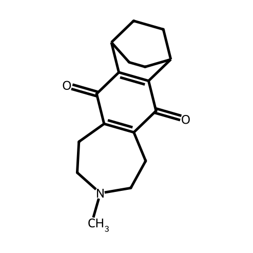 CN1CCC2=C(CC1)C(=O)C1=C(C2=O)C2CCC1CC2